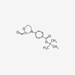 CC(C)(C)OC(=O)c1ccc(N2CCO[C@H](C=O)C2)cc1